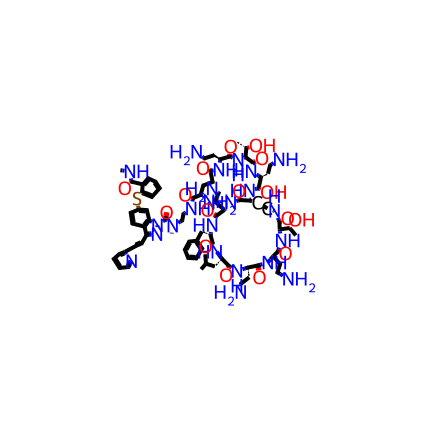 CNC(=O)c1ccccc1Sc1ccc2c(/C=C/c3ccccn3)nn(C(=O)N(C)CCNC(=O)[C@H](N)CCC(=O)N[C@@H](CCN)C(=O)NC(C(=O)N[C@H](CCN)C(O)N[C@@H]3CCNC(=O)C(C(C)O)NC(=O)C(CCN)NC(=O)[C@H](CCN)NC(=O)[C@H](CC(C)C)NC(=O)[C@H](Cc4ccccc4)NC(=O)C(CCN)NC3=O)[C@H](C)O)c2c1